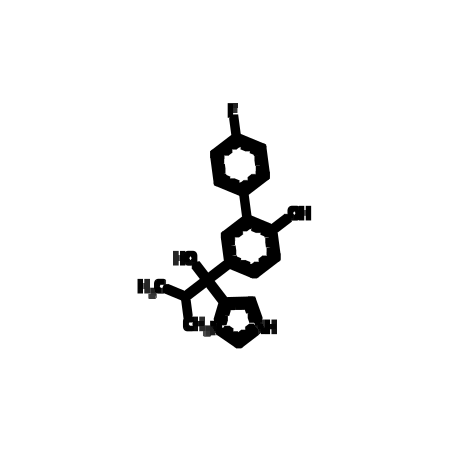 CC(C)C(O)(c1ccc(O)c(-c2ccc(F)cc2)c1)c1c[nH]cn1